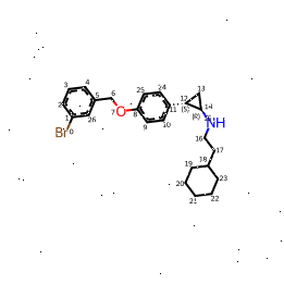 Brc1cccc(COc2ccc([C@@H]3C[C@H]3NCCC3CCCCC3)cc2)c1